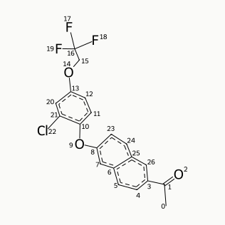 CC(=O)c1ccc2cc(Oc3ccc(OCC(F)(F)F)cc3Cl)ccc2c1